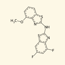 COc1cccc2sc(Nc3nc4c(F)cc(F)cc4s3)nc12